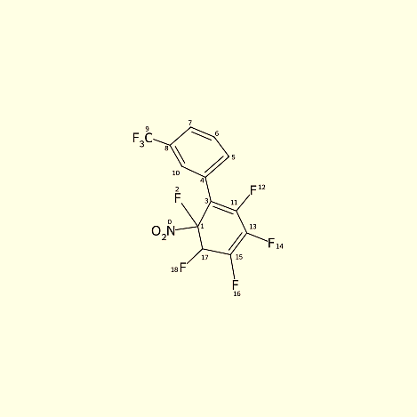 O=[N+]([O-])C1(F)C(c2cccc(C(F)(F)F)c2)=C(F)C(F)=C(F)C1F